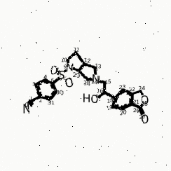 N#Cc1ccc(S(=O)(=O)N2CCC3CN(CC(O)c4ccc5c(c4)COC5=O)CC32)cc1